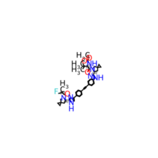 COC(=O)N[C@H](C(=O)N1CC2(CC2)C[C@H]1c1nc2cc(C#Cc3ccc(-c4c[nH]c([C@@H]5CC6(CC6)CN5C(=O)[C@@H](C)CF)n4)cc3)ccc2[nH]1)C(C)C